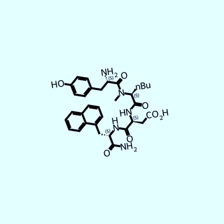 CCCC[C@@H](C(=O)N[C@@H](CC(=O)O)C(=O)N[C@@H](Cc1cccc2ccccc12)C(N)=O)N(C)C(=O)[C@@H](N)Cc1ccc(O)cc1